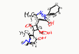 C=C(O)C(/C(C)=N\C)C1C(=O)C(c2c(C)nn(-c3ccccc3)c2O)=C1O